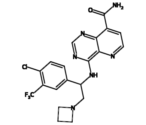 NC(=O)c1ccnc2c(NC(CN3CCC3)c3ccc(Cl)c(C(F)(F)F)c3)ncnc12